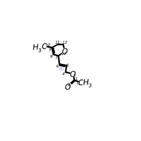 CC(=O)OC/C=C/C1C=C(C)CCO1